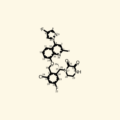 Cc1cc(-n2cc(F)cn2)c2cccc(OCc3c(Cl)cc(F)cc3[C@H](C)N3CCNC(=O)C3=O)c2n1